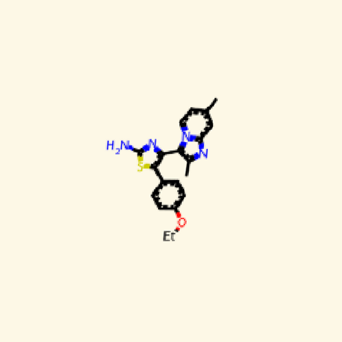 CCOc1ccc(-c2sc(N)nc2-c2c(C)nc3cc(C)ccn23)cc1